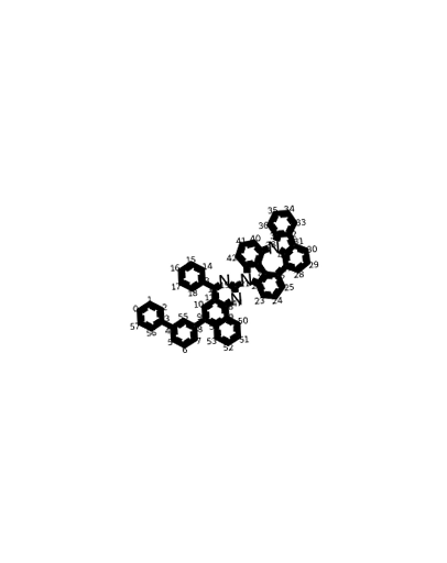 c1ccc(-c2cccc(-c3cc4c(-c5ccccc5)nc(-n5c6cccc7c8cccc9c%10ccccc%10n(c%10cccc5c%10c76)c89)nc4c4ccccc34)c2)cc1